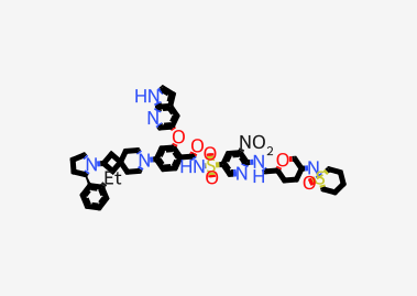 CCc1ccccc1[C@H]1CCCN1C1CC2(CCN(c3ccc(C(=O)NS(=O)(=O)c4cnc(NCC5CCC(N=S6(=O)CCCCC6)CO5)c([N+](=O)[O-])c4)c(Oc4cnc5[nH]ccc5c4)c3)CC2)C1